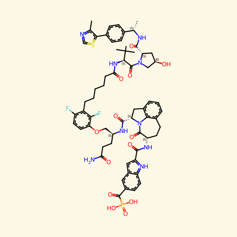 Cc1ncsc1-c1ccc([C@H](C)NC(=O)[C@@H]2C[C@@H](O)CN2C(=O)[C@@H](NC(=O)CCCCCc2c(F)ccc(OC[C@H](CCC(N)=O)NC(=O)[C@@H]3Cc4cccc5c4N3C(=O)[C@@H](NC(=O)c3cc4cc(C(=O)P(=O)(O)O)ccc4[nH]3)CC5)c2F)C(C)(C)C)cc1